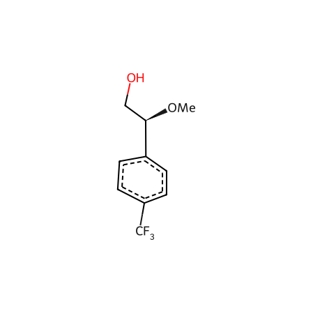 CO[C@H](CO)c1ccc(C(F)(F)F)cc1